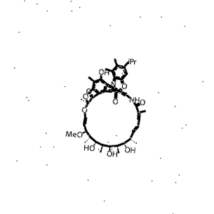 CO[C@H]1/C=C/O[C@@]2(C)Oc3c(C)c(O)c4c(=O)c(c5oc6cc(C(C)C)c(C)c(C)c6nc-5c4c3C2=O)NC(=O)/C(C)=C\C=C\[C@H](C)[C@H](O)[C@@H](C)[C@@H](O)[C@@H](C)[C@H](O)[C@@H]1C